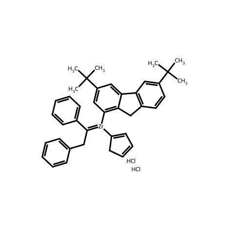 CC(C)(C)c1ccc2c(c1)-c1cc(C(C)(C)C)c[c](/[Zr]([C]3=CC=CC3)=[C](/Cc3ccccc3)c3ccccc3)c1C2.Cl.Cl